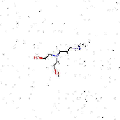 CNCCCN(CCO)CCO